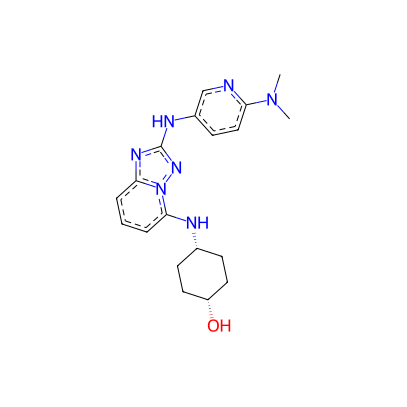 CN(C)c1ccc(Nc2nc3cccc(N[C@H]4CC[C@@H](O)CC4)n3n2)cn1